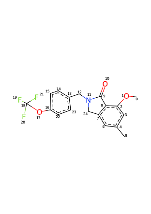 COc1cc(C)cc2c1C(=O)N(Cc1ccc(OC(F)(F)F)cc1)C2